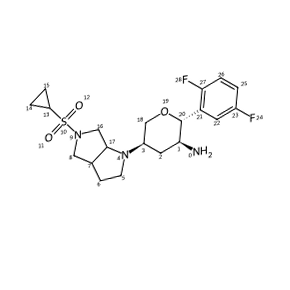 N[C@H]1C[C@@H](N2CCC3CN(S(=O)(=O)C4CC4)CC32)CO[C@@H]1c1cc(F)ccc1F